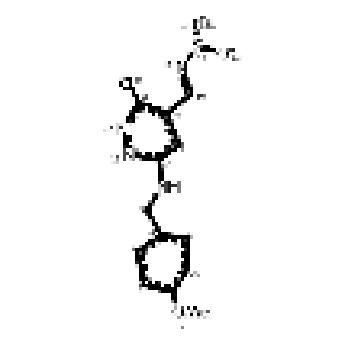 COc1ccc(CNc2cc(/C=N/[S@+]([O-])C(C)(C)C)c(Cl)nn2)cc1